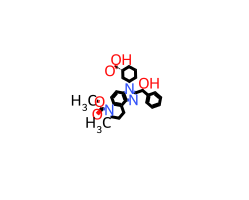 COC(=O)N1c2ccc3c(nc([C@H](O)c4ccccc4)n3[C@H]3CCC[C@@H](C(=O)O)C3)c2CC[C@@H]1C